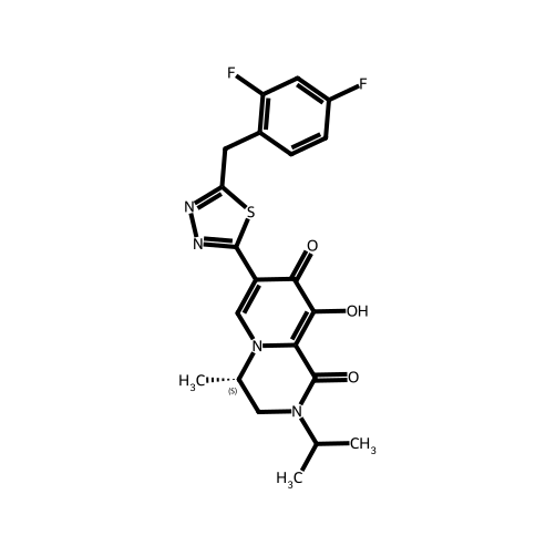 CC(C)N1C[C@H](C)n2cc(-c3nnc(Cc4ccc(F)cc4F)s3)c(=O)c(O)c2C1=O